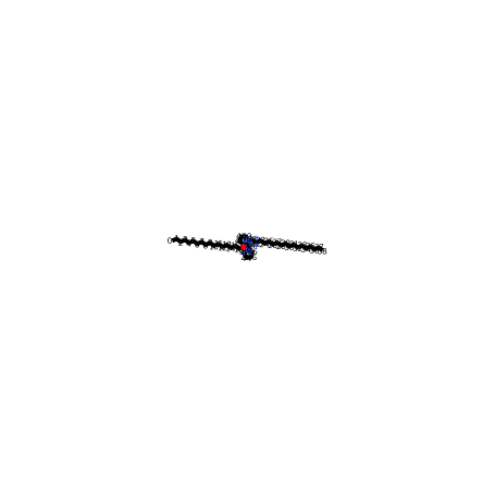 CCCCCCCCCCCCCCCCCC[N+]1(C[N+]2(CCCCCCCCCCCCCCCCCC)CCCC2)CCCC1